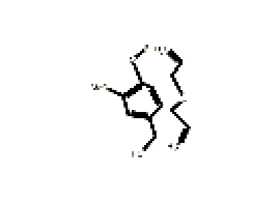 C=CCOCC=C.CCOc1ccc(CO)cc1OC